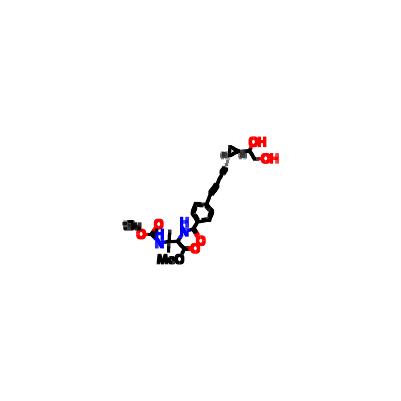 COC(=O)C(NC(=O)c1ccc(C#CC#C[C@@H]2C[C@H]2C(O)CO)cc1)C(C)(C)NC(=O)OC(C)(C)C